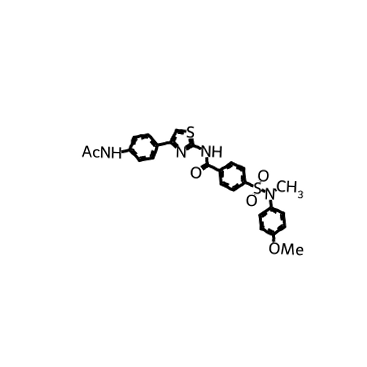 COc1ccc(N(C)S(=O)(=O)c2ccc(C(=O)Nc3nc(-c4ccc(NC(C)=O)cc4)cs3)cc2)cc1